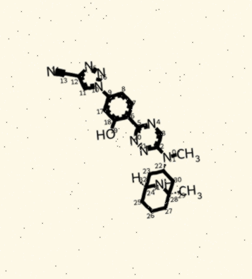 CN(c1cnc(-c2ccc(-n3cc(C#N)nn3)cc2O)nn1)[C@H]1C[C@@H]2CCC[C@](C)(C1)N2